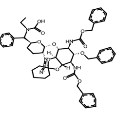 CCN(C(=O)O)C(c1ccccc1)[C@@H]1CC[C@@H](N=[N+]=[N-])[C@@H](O[C@@H]2[C@@H](NC(=O)OCc3ccccc3)[C@H](OCc3ccccc3)[C@@H](NC(=O)OCc3ccccc3)[C@@H]3OC4(CCCCC4)O[C@@H]23)O1